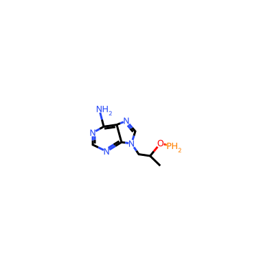 CC(Cn1cnc2c(N)ncnc21)OP